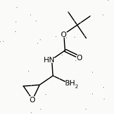 BC(NC(=O)OC(C)(C)C)C1CO1